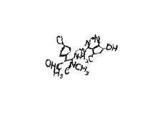 C[C@@H]1C[C@@H](O)c2ncnc(N3CCN(C(C(C=O)c4ccc(Cl)cc4)N(C)C)CC3)c21